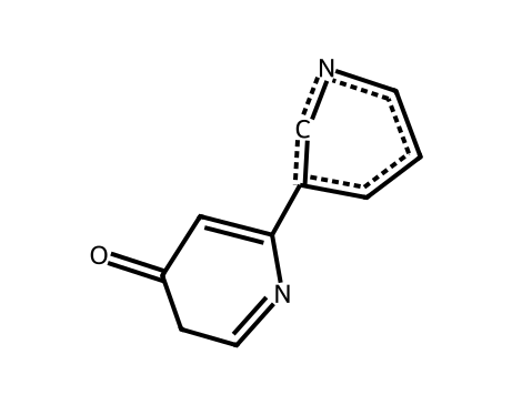 O=C1C=C(c2cccnc2)N=CC1